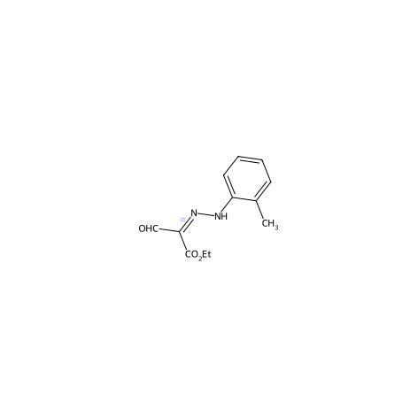 CCOC(=O)/C(C=O)=N\Nc1ccccc1C